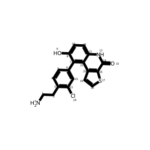 NCCc1ccc(-c2c(O)ccc3[nH]c(=O)c4sccc4c23)cc1Cl